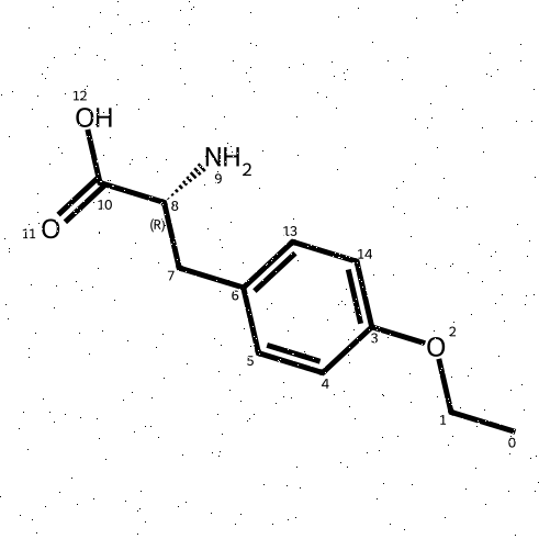 CCOc1ccc(C[C@@H](N)C(=O)O)cc1